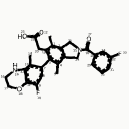 Cc1c2c(c(C)c(-c3cc(F)c4c(c3C)NCCO4)c1CC(=O)O)CN(C(=O)c1cccc(F)c1)C2